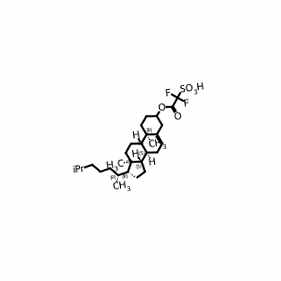 CC(C)CCC[C@@H](C)[C@H]1CC[C@H]2[C@@H]3CC=C4CC(OC(=O)C(F)(F)S(=O)(=O)O)CC[C@]4(C)[C@H]3CC[C@]12C